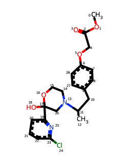 COC(=O)COc1ccc(CC(C)N2CCOC(O)(c3cccc(Cl)n3)C2)cc1